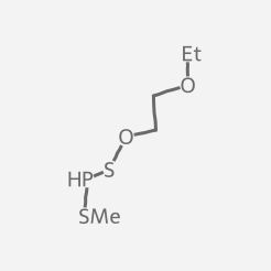 CCOCCOSPSC